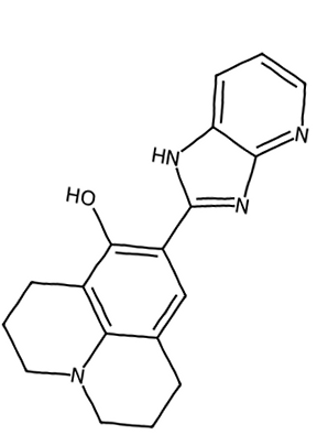 Oc1c(-c2nc3ncccc3[nH]2)cc2c3c1CCCN3CCC2